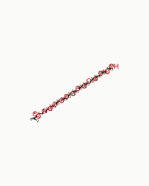 C=C(C)C(=O)OCCOCCOCCOCCOCCOCCOCCOCCOCCOCCOCCOCCOCCO